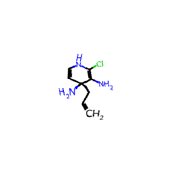 C=CCC1(N)C=CNC(Cl)=C1N